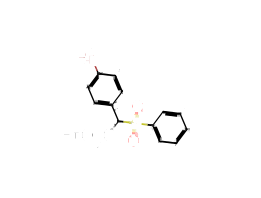 CCOC(=O)C(c1ccc(Br)cc1)S(=O)(=O)c1ccccc1